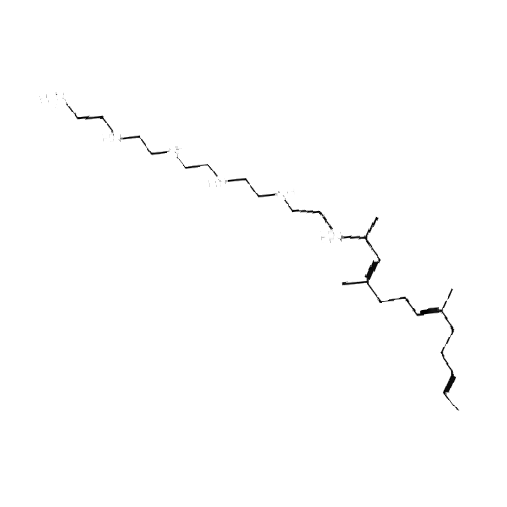 CC=CCCC(C)=CCCC(C)=CC(C)NCCNCCNCCNCCNCCN